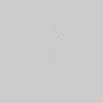 CC(=O)OCC(=O)Nc1ccc(-c2ncc(NCc3ccc4oc5ccccc5c4c3)c(=O)n2CC(=O)OC(C)(C)C)cc1